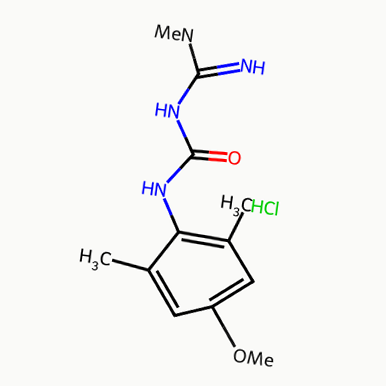 CNC(=N)NC(=O)Nc1c(C)cc(OC)cc1C.Cl